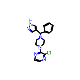 Clc1nccnc1N1CCN(C(c2ccccc2)c2cn[nH]c2)CC1